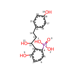 O=P(O)(O)c1cccc(O)c1C(O)CCc1ccc(O)cc1